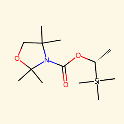 C[C@@H](OC(=O)N1C(C)(C)COC1(C)C)[Si](C)(C)C